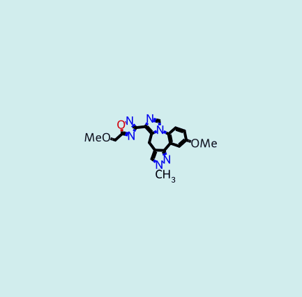 COCc1nc(-c2ncn3c2Cc2cn(C)nc2-c2cc(OC)ccc2-3)no1